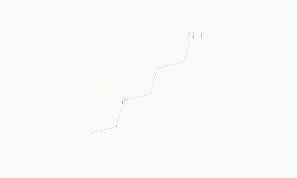 CC(C)C(=O)CCCN